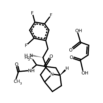 CC(=O)NC(C)C(=O)N1C2CC[C@H]1CC([C@H](N)Cc1cc(F)c(F)cc1F)C2.O=C(O)/C=C\C(=O)O